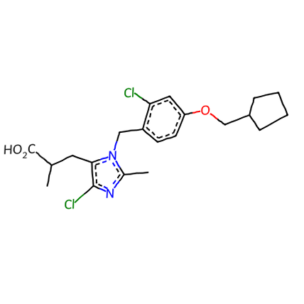 Cc1nc(Cl)c(CC(C)C(=O)O)n1Cc1ccc(OCC2CCCC2)cc1Cl